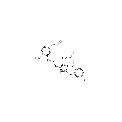 CC(C)COc1ccc(Cl)cc1Cc1nc(OCNc2cc(CCO)ccc2N)cs1